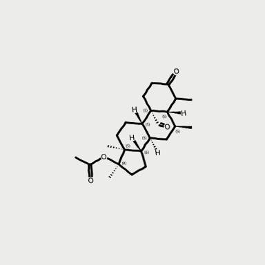 CC(=O)O[C@]1(C)CC[C@H]2[C@@H]3C[C@H](C)[C@H]4C(C)C(=O)CC[C@]4(C=O)[C@H]3CC[C@@]21C